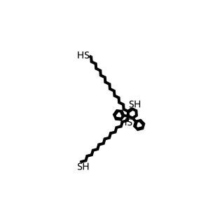 SCCCCCCCCCCCCCCCCC1=C(S)CCC(S)(c2ccccc2)C1(CCCCCCCCCCCCCCCCS)c1ccccc1